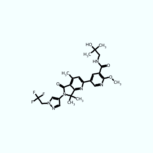 COc1ncc(-c2cc(C)c3c(n2)C(C)(C)N(c2cnn(CC(F)(F)F)c2)C3=O)cc1C(=O)NCC(C)(C)O